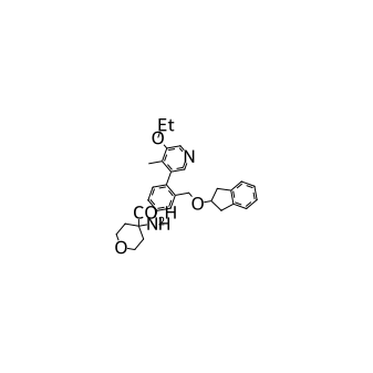 CCOc1cncc(-c2ccc(NC3(C(=O)O)CCOCC3)cc2COC2Cc3ccccc3C2)c1C